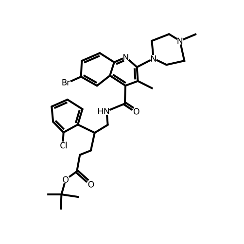 Cc1c(N2CCN(C)CC2)nc2ccc(Br)cc2c1C(=O)NCC(CCC(=O)OC(C)(C)C)c1ccccc1Cl